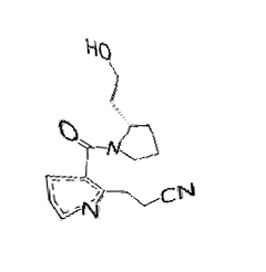 N#CCCc1ncccc1C(=O)N1CCC[C@H]1CCO